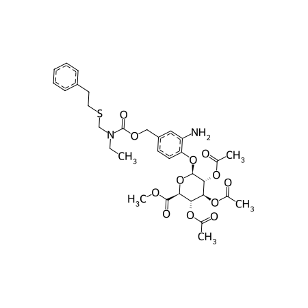 CCN(CSCCc1ccccc1)C(=O)OCc1ccc(O[C@@H]2O[C@H](C(=O)OC)[C@@H](OC(C)=O)[C@H](OC(C)=O)[C@H]2OC(C)=O)c(N)c1